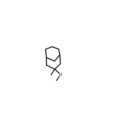 COC1(C)CC2CCCC(C2)C1